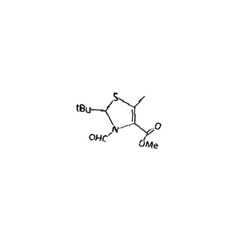 COC(=O)C1=C(C)SC(C(C)(C)C)N1C=O